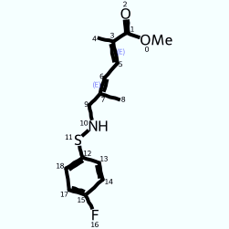 COC(=O)/C(C)=C/C=C(\C)CNSc1ccc(F)cc1